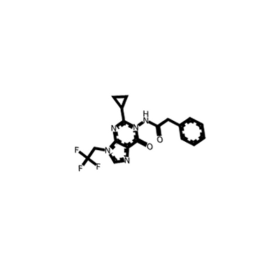 O=C(Cc1ccccc1)Nn1c(C2CC2)nc2c(ncn2CC(F)(F)F)c1=O